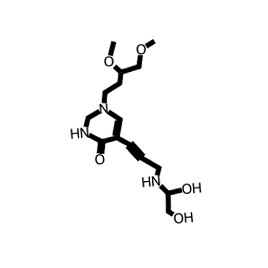 COCC(CCN1C=C(C#CCNC(O)CO)C(=O)NC1)OC